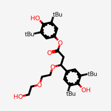 CC(C)(C)c1cc(OC(=O)CC(OCCOCCO)c2cc(C(C)(C)C)c(O)c(C(C)(C)C)c2)cc(C(C)(C)C)c1O